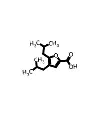 CC(C)Cc1cc(C(=O)O)oc1CC(C)C